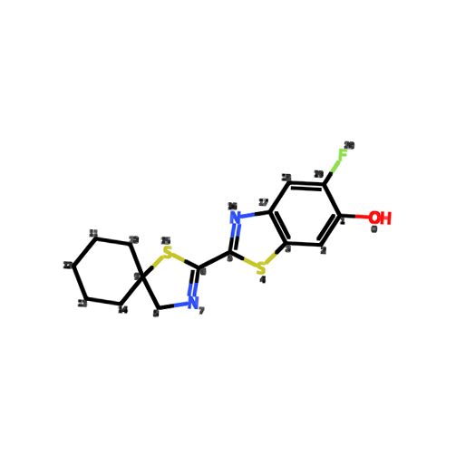 Oc1cc2sc(C3=NCC4(CCCCC4)S3)nc2cc1F